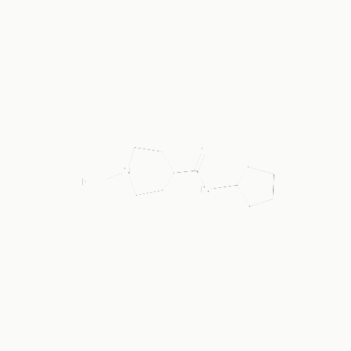 O=C(NC1CCCC1)C1CCN(C(=O)O)CC1